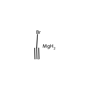 [C]#CBr.[MgH2]